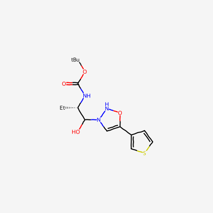 CC[C@H](NC(=O)OC(C)(C)C)C(O)N1C=C(c2ccsc2)ON1